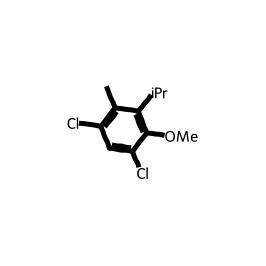 COc1c(Cl)cc(Cl)c(C)c1C(C)C